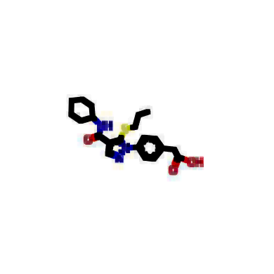 CCCSc1c(C(=O)NC2CCCCC2)cnn1-c1ccc(CC(=O)O)cc1